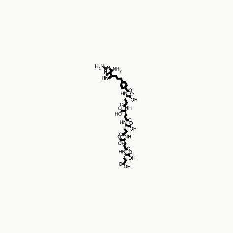 Nc1nc(N)c2c(CCCc3ccc(C(=O)N[C@@H](CCC(=O)N[C@@H](CCC(=O)N[C@@H](CCC(=O)N[C@@H](CCC(=O)N[C@@H](CCC(=O)O)C(=O)O)C(=O)O)C(=O)O)C(=O)O)C(=O)O)cc3)c[nH]c2n1